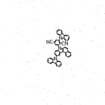 N#Cc1cc(-n2c3ccccc3c3ccccc32)c(C#N)c(-n2c3ccc(-n4c5ccccc5c5ccccc54)cc3c3c4ccccc4ccc32)c1